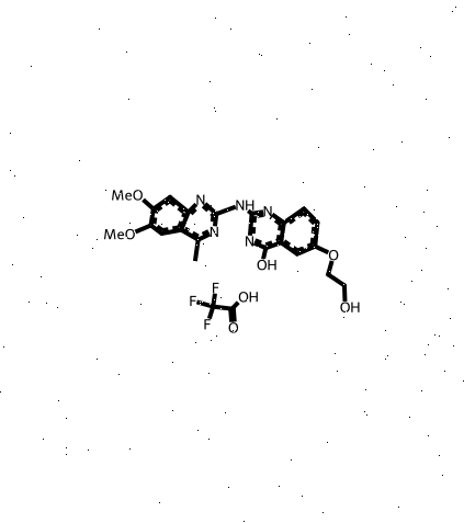 COc1cc2nc(Nc3nc(O)c4cc(OCCO)ccc4n3)nc(C)c2cc1OC.O=C(O)C(F)(F)F